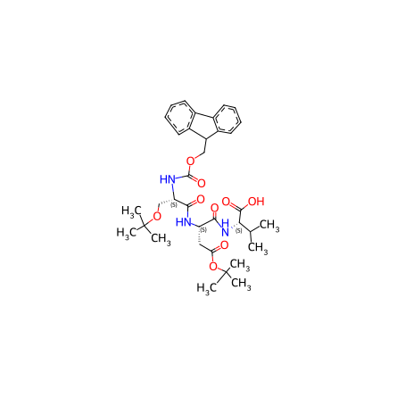 CC(C)[C@H](NC(=O)[C@H](CC(=O)OC(C)(C)C)NC(=O)[C@H](COC(C)(C)C)NC(=O)OCC1c2ccccc2-c2ccccc21)C(=O)O